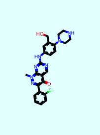 Cn1nc(-c2ccccc2Cl)c(=O)c2cnc(Nc3ccc(N4CCNCC4)c(CO)c3)nc21